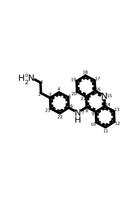 NCCc1ccc(Nc2c3ccccc3nc3ccccc23)cc1